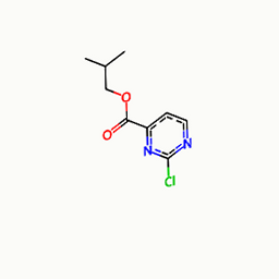 CC(C)COC(=O)c1ccnc(Cl)n1